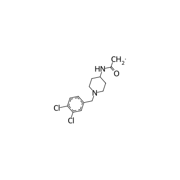 [CH2]C(=O)NC1CCN(Cc2ccc(Cl)c(Cl)c2)CC1